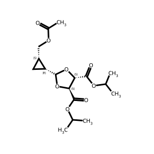 CC(=O)OC[C@H]1C[C@H]1C1O[C@H](C(=O)OC(C)C)[C@@H](C(=O)OC(C)C)O1